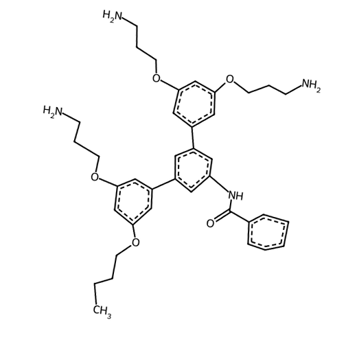 CCCCOc1cc(OCCCN)cc(-c2cc(NC(=O)c3ccccc3)cc(-c3cc(OCCCN)cc(OCCCN)c3)c2)c1